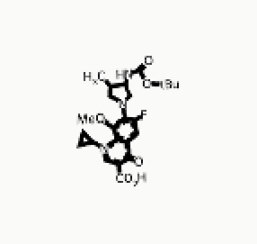 COc1c(N2CC(C)C(NC(=O)OC(C)(C)C)C2)c(F)cc2c(=O)c(C(=O)O)cn(C3CC3)c12